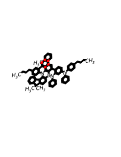 CCCCc1ccc(N(c2ccccc2)c2ccc3c(c2)N(c2ccccc2)B2c4ccc5c(c4N(c4ccc(CCCC)cc4-c4ccccc4)c4cc(-c6ccccc6C)cc-3c42)-c2ccccc2C5(C)C)cc1